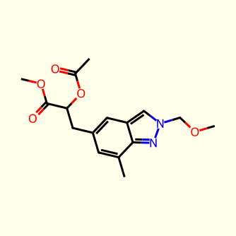 COCn1cc2cc(CC(OC(C)=O)C(=O)OC)cc(C)c2n1